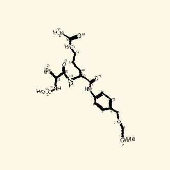 COCOCc1ccc(NC(=O)C(CCCNC(N)=O)NC(=O)C(NC(=O)O)C(C)C)cc1